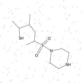 CC(S)C(C)CC(C)S(=O)(=O)N1CCNCC1